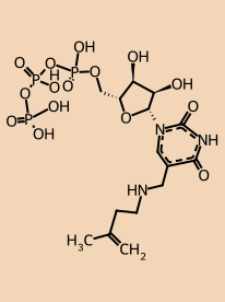 C=C(C)CCNCc1cn([C@@H]2O[C@H](COP(=O)(O)OP(=O)(O)OP(=O)(O)O)[C@@H](O)[C@H]2O)c(=O)[nH]c1=O